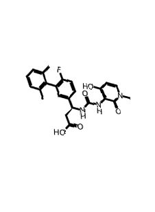 Cc1cccc(C)c1-c1cc([C@H](CC(=O)O)NC(=O)Nc2c(O)ccn(C)c2=O)ccc1F